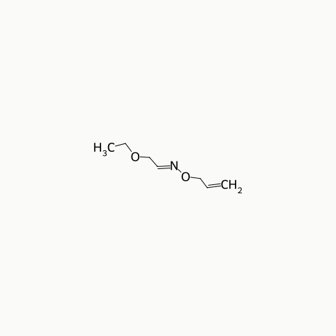 C=CCON=CCOCC